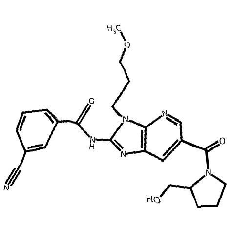 COCCCn1c(NC(=O)c2cccc(C#N)c2)nc2cc(C(=O)N3CCCC3CO)cnc21